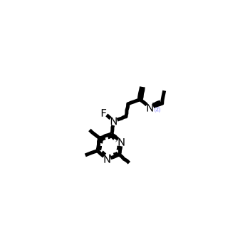 C=C(CCN(F)c1nc(C)nc(C)c1C)/N=C\C